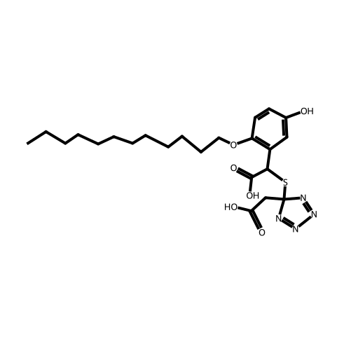 CCCCCCCCCCCCOc1ccc(O)cc1C(SC1(CC(=O)O)N=NN=N1)C(=O)O